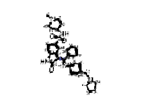 CN1CCC(NS(=O)(=O)c2ccc3c(c2)/C(=C(/Nc2ccc(CN4CCCC4)cc2)c2ccccc2)C(=O)N3)CC1